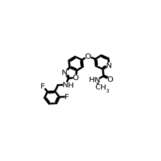 CNC(=O)c1cc(Oc2ccc3nc(NCc4c(F)cccc4F)oc3c2)ccn1